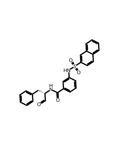 O=C[C@H](Cc1ccccc1)NC(=O)c1cccc(NS(=O)(=O)c2ccc3ccccc3c2)c1